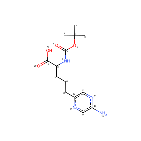 CC(C)(C)OC(=O)NC(CCCc1cnc(N)cn1)C(=O)O